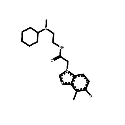 Cc1c(F)ccc2c1ncn2CC(=O)NCCN(C)C1CCCCC1